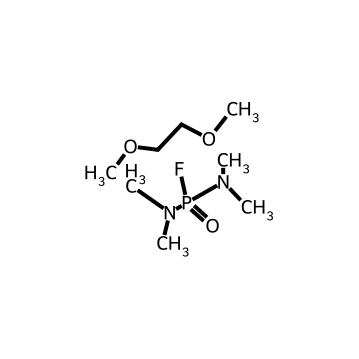 CN(C)P(=O)(F)N(C)C.COCCOC